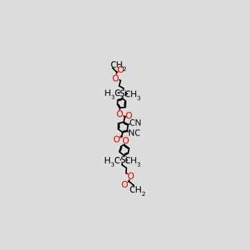 [C-]#[N+]c1c(C(=O)Oc2ccc([Si](C)(C)CCCOC(=O)C=C)cc2)ccc(C(=O)Oc2ccc([Si](C)(C)CCCOC(=O)C=C)cc2)c1C#N